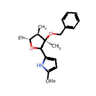 CC[C@H]1OC(c2ccc(OC)[nH]2)[C@](C)(OCc2ccccc2)[C@@H]1C